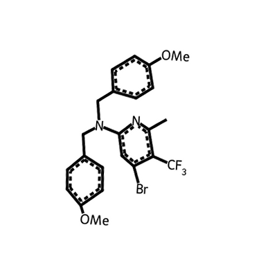 COc1ccc(CN(Cc2ccc(OC)cc2)c2cc(Br)c(C(F)(F)F)c(C)n2)cc1